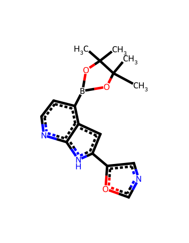 CC1(C)OB(c2ccnc3[nH]c(-c4cnco4)cc23)OC1(C)C